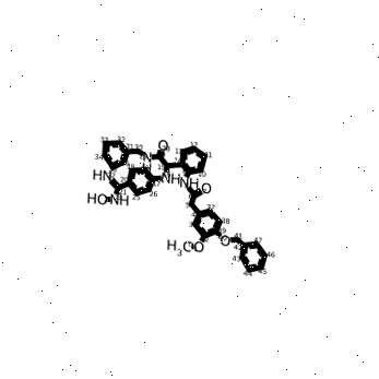 COc1cc(CC(=O)Nc2ccccc2C(Nc2ccc(C(=N)NO)cc2)C(=O)NCc2ccccc2)ccc1OCc1ccccc1